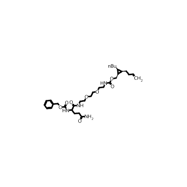 C=CCC[C@@H]1[C@H](CCCC)[C@@H]1COC(=O)NCCOCCOCCNC(=O)C(CCC(N)=O)NC(=O)OCc1ccccc1